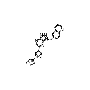 c1cnc2ccc(Cn3nnc4ncc(-c5cnn([C@@H]6CCOC6)c5)nc43)cc2c1